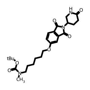 CN(CCCCCCOc1ccc2c(c1)C(=O)N(C1CCC(=O)NC1)C2=O)C(=O)OC(C)(C)C